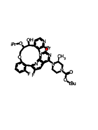 CC(C)OC1COc2cccc(F)c2-c2nc3c(cc2F)c(N2CCN(C(=O)OC(C)(C)C)C[C@@H]2C)nc(=O)n3-c2c(ccnc2C(C)C)C1O